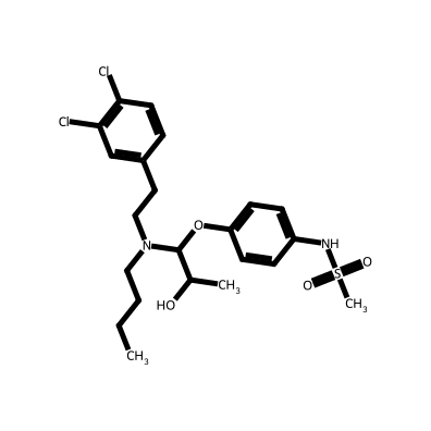 CCCCN(CCc1ccc(Cl)c(Cl)c1)C(Oc1ccc(NS(C)(=O)=O)cc1)C(C)O